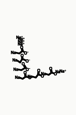 O=C([O-])[CH2][Na].O=C([O-])[CH2][Na].O=C([O-])[CH2][Na].O=C([O-])[CH2][Na].O=C([O-])[CH2][Na].O=C([O-])[CH2][Na].[Na+].[Na+].[Na+].[Na+].[Na+].[Na+]